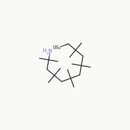 CC(C)(C)CC(C)(C)CC(C)(C)CC(C)(C)CC(C)(C)CC(C)(C)N